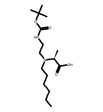 CCCCCCN(CCNC(=O)OC(C)(C)C)[C@@H](C)C(=O)O